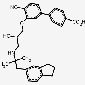 CC(C)(Cc1ccc2c(c1)CCC2)NC[C@@H](O)COc1cc(-c2ccc(C(=O)O)cc2)ccc1C#N